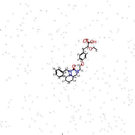 CCOC(Cc1ccc(OCCN(CC2CCCCC2)C(=O)NCc2ccccc2)cc1)C(=O)O